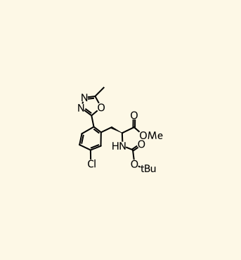 COC(=O)[C@H](Cc1cc(Cl)ccc1-c1nnc(C)o1)NC(=O)OC(C)(C)C